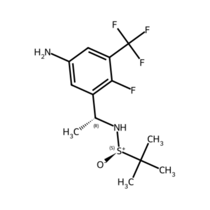 C[C@@H](N[S@+]([O-])C(C)(C)C)c1cc(N)cc(C(F)(F)F)c1F